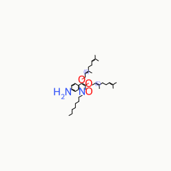 CCCCCCCCn1c(=O)c(OC/C=C(\C)CCC=C(C)C)c(OC/C=C(\C)CCC=C(C)C)c2ccc(N)cc21